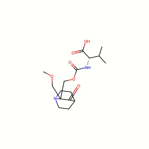 COCC1(COC(=O)N[C@H](C(=O)O)C(C)C)C(=O)C2CCN1CC2